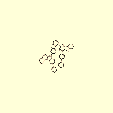 C1=CC2C(C=C1c1ccccc1)c1c(ccc3ccccc13)N2c1ccc2c(c1)oc1cccc(-c3nc(-c4ccc(-c5ccccc5)cc4)c4sc5ccccc5c4n3)c12